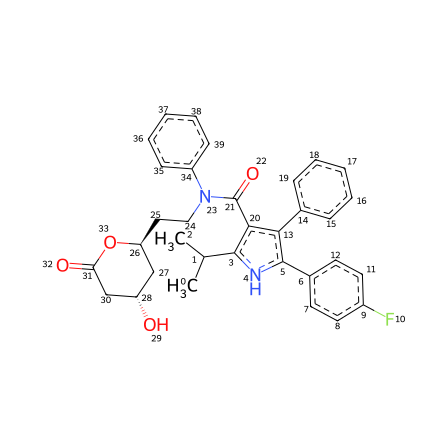 CC(C)c1[nH]c(-c2ccc(F)cc2)c(-c2ccccc2)c1C(=O)N(CC[C@H]1C[C@H](O)CC(=O)O1)c1ccccc1